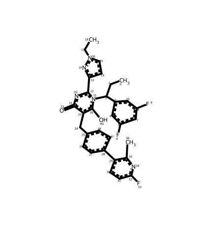 CCC(c1cc(F)cc(F)c1)n1c(-c2ccn(CC)n2)nc(=O)c(Cc2ccc(-c3ccc(F)nc3C)cc2)c1O